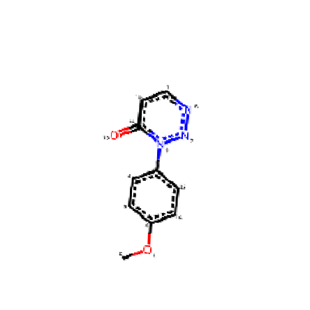 COc1ccc(-n2nnccc2=O)cc1